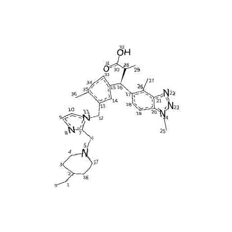 CCC1CCN(Cc2nccn2Cc2cc([C@H](c3ccc4c(nnn4C)c3C)C(C)C(=O)O)ccc2C)CC1